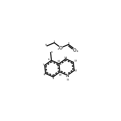 CCOC=O.Cc1cccc2ncccc12